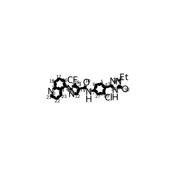 CCn1nc(-c2ccc(NC(=O)c3cnn(-c4cccc5ncccc45)c3C(F)(F)F)cc2Cl)[nH]c1=O